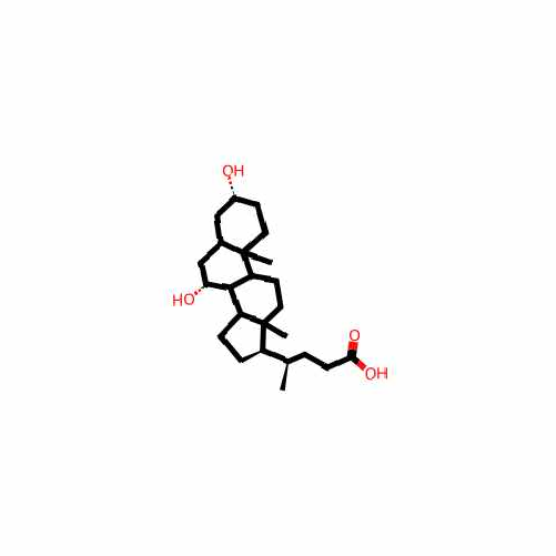 C[C@H](CCC(=O)O)[C@H]1CCC2C3C(CCC21C)C1(C)CC[C@@H](O)CC1C[C@H]3O